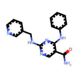 NC(=O)c1cnc(NCc2cccnc2)nc1Nc1ccccc1